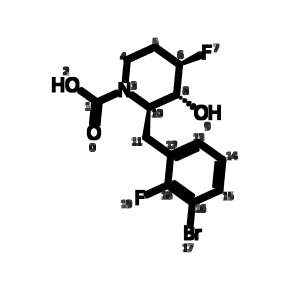 O=C(O)N1CC[C@@H](F)[C@H](O)[C@H]1Cc1cccc(Br)c1F